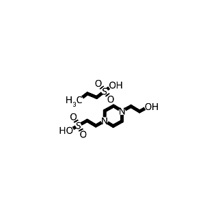 CCCS(=O)(=O)O.O=S(=O)(O)CCN1CCN(CCO)CC1